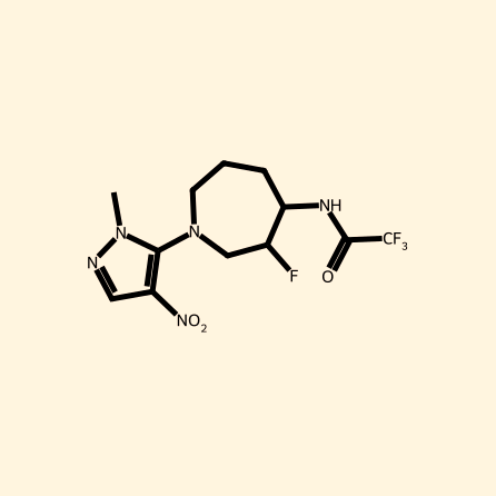 Cn1ncc([N+](=O)[O-])c1N1CCCC(NC(=O)C(F)(F)F)C(F)C1